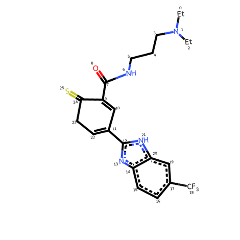 CCN(CC)CCCNC(=O)C1=CC(c2nc3ccc(C(F)(F)F)cc3[nH]2)=CCC1=S